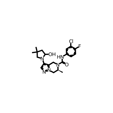 C[C@H]1Cn2ncc(N3CC(C)(C)CC3O)c2CN1C(=O)Nc1ccc(F)c(Cl)c1